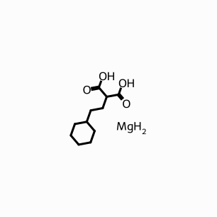 O=C(O)C(CCC1CCCCC1)C(=O)O.[MgH2]